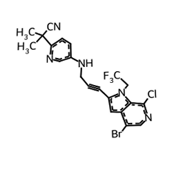 CC(C)(C#N)c1ccc(NCC#Cc2cc3c(Br)cnc(Cl)c3n2CC(F)(F)F)cn1